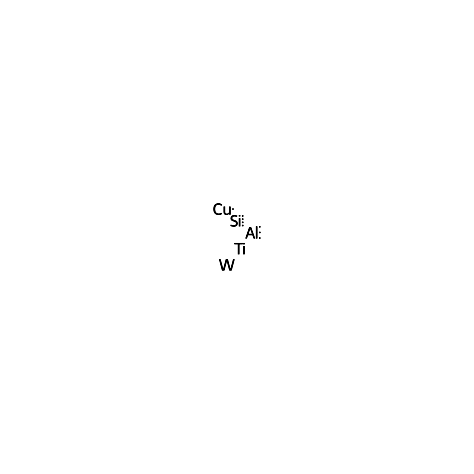 [Al].[Cu].[Si].[Ti].[W]